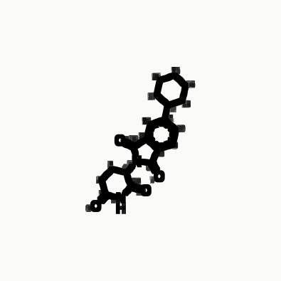 O=C1CCC(N2C(=O)c3ccc(C4CCCCC4)cc3C2=O)C(=O)N1